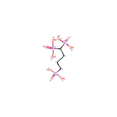 O=P(O)(O)CCCC(P(=O)(O)O)P(=O)(O)O